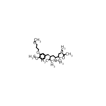 COCCCOc1cc(C[C@@H](C[C@H](N)C(C)CN(C)C(C)=O)C(C)C)ccc1OC